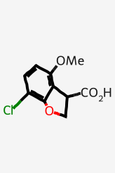 COc1ccc(Cl)c2c1C(C(=O)O)CO2